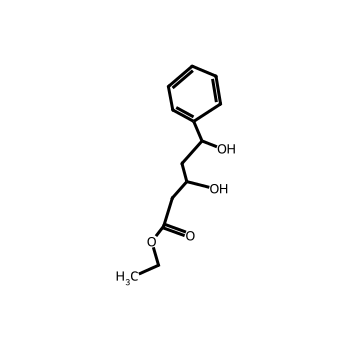 CCOC(=O)CC(O)CC(O)c1ccccc1